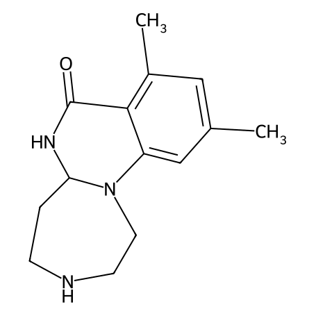 Cc1cc(C)c2c(c1)N1CCNCCC1NC2=O